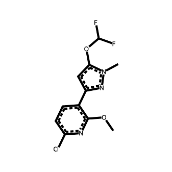 COc1nc(Cl)ccc1-c1cc(OC(F)F)n(C)n1